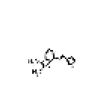 Cc1nc2c(C=Cc3ccsc3)nccn2c1N